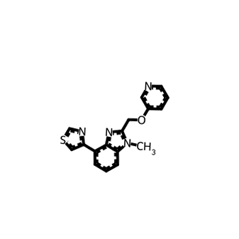 Cn1c(COc2cccnc2)nc2c(-c3cscn3)cccc21